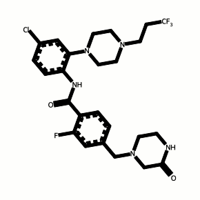 O=C1CN(Cc2ccc(C(=O)Nc3ccc(Cl)cc3N3CCN(CCC(F)(F)F)CC3)c(F)c2)CCN1